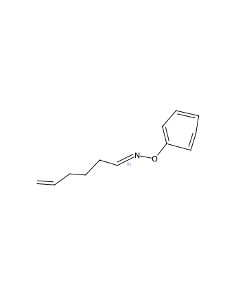 C=CCCC/C=N/Oc1ccccc1